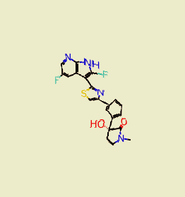 CN1CC[C@@](O)(c2cccc(-c3csc(-c4c(F)[nH]c5ncc(F)cc45)n3)c2)C1=O